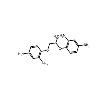 CC(COc1ccc(N)cc1N)Oc1ccc(N)cc1N